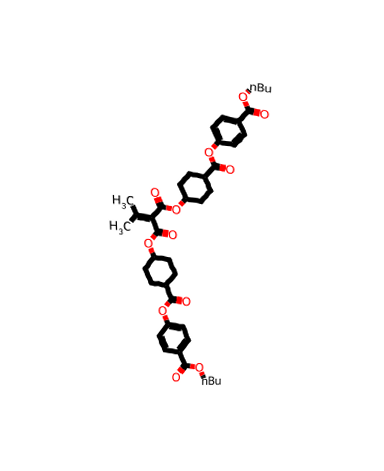 CCCCOC(=O)c1ccc(OC(=O)C2CCC(OC(=O)C(C(=O)OC3CCC(C(=O)Oc4ccc(C(=O)OCCCC)cc4)CC3)=C(C)C)CC2)cc1